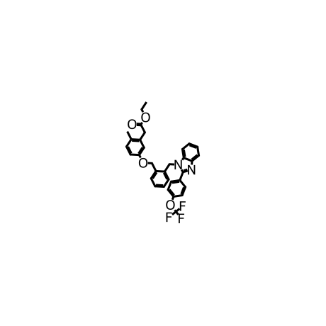 CCOC(=O)Cc1cc(OCc2ccccc2Cn2c(-c3ccc(OC(F)(F)F)cc3)nc3ccccc32)ccc1C